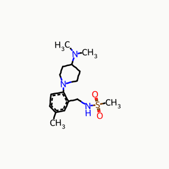 Cc1ccc(N2CCC(N(C)C)CC2)c(CNS(C)(=O)=O)c1